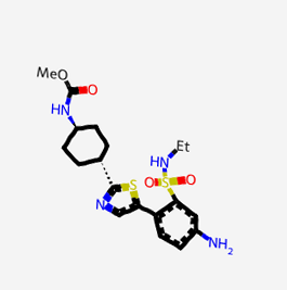 CCNS(=O)(=O)c1cc(N)ccc1-c1cnc([C@H]2CC[C@H](NC(=O)OC)CC2)s1